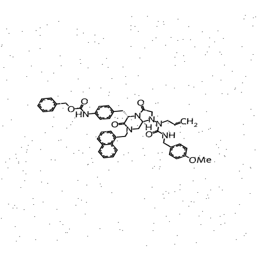 C=CCN(C(=O)NCc1ccc(OC)cc1)N1CC(=O)N2[C@@H](Cc3ccc(NC(=O)OCc4ccccc4)cc3)C(=O)N(Cc3cccc4ccccc34)C[C@@H]21